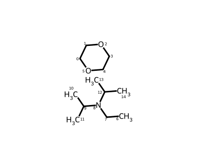 C1COCCO1.CCN(C(C)C)C(C)C